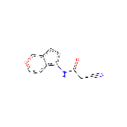 N#CCC(=O)Nc1ccc2coccc1-2